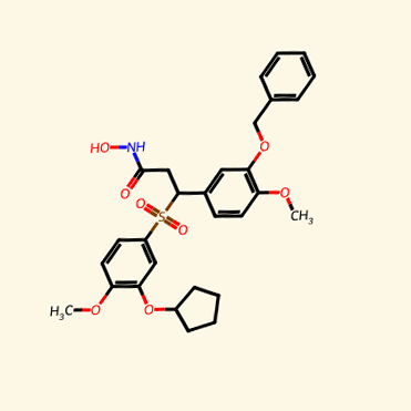 COc1ccc(C(CC(=O)NO)S(=O)(=O)c2ccc(OC)c(OC3CCCC3)c2)cc1OCc1ccccc1